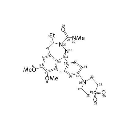 CCC1Cc2cc(OC)c(OC)cc2C(c2ccc(N3CCS(=O)(=O)CC3)cc2)=NN1C(=O)NC